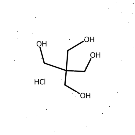 Cl.OCC(CO)(CO)CO